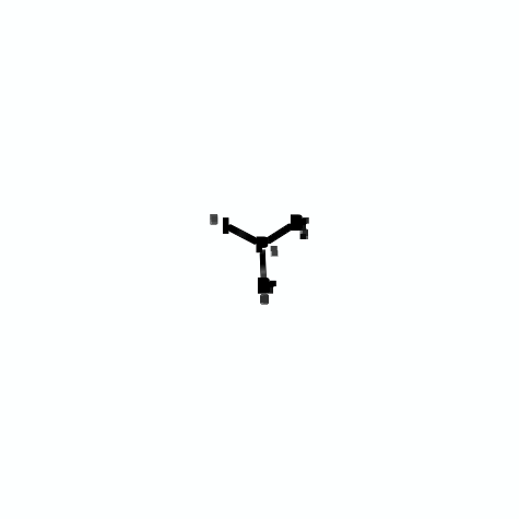 BrP(Br)I